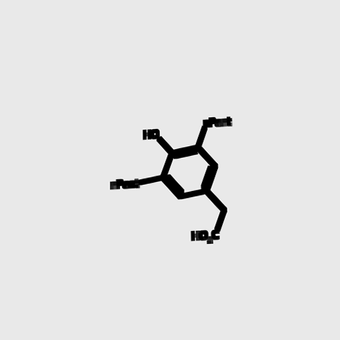 CCCCCc1cc(CC(=O)O)cc(CCCCC)c1O